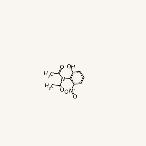 CC(=O)N(C(C)=O)c1c(O)cccc1[N+](=O)[O-]